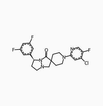 O=C1N2[C@H](c3cc(F)cc(F)c3)CCN2CC12CCN(c1cc(Cl)c(F)cn1)CC2